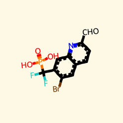 O=Cc1ccc2cc(Br)c(C(F)(F)P(=O)(O)O)cc2n1